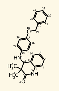 CC1(C)C(=O)Nc2ccccc2C1Nc1ccc(OCc2ccccc2)cc1